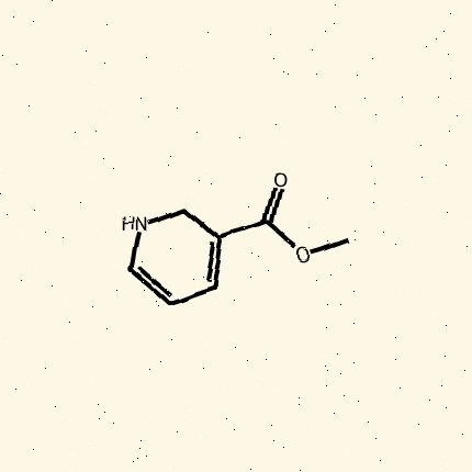 COC(=O)C1=CC=CNC1